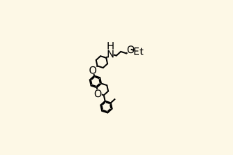 CCOCCCNC1CCC(Oc2ccc3c(c2)CCC(c2ccccc2C)O3)CC1